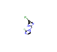 Clc1nccn1Cc1ncc(Br)cn1